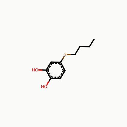 CCCCSc1ccc(O)c(O)c1